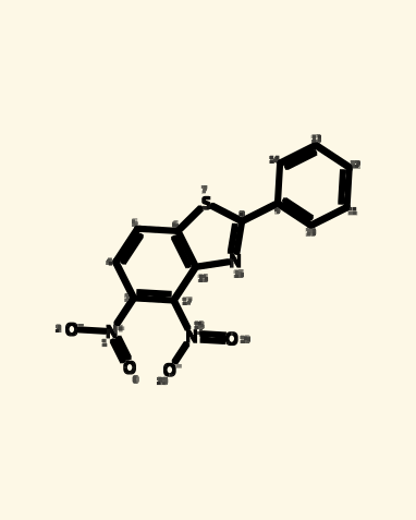 O=[N+]([O-])c1ccc2sc(-c3ccccc3)nc2c1[N+](=O)[O-]